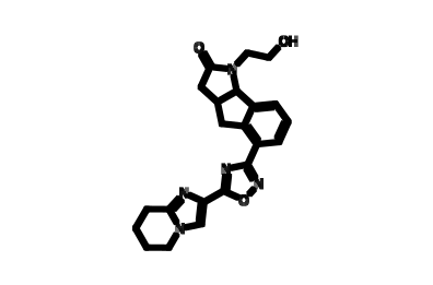 O=C1CC2Cc3c(-c4noc(-c5cn6c(n5)CCCC6)n4)cccc3C2N1CCO